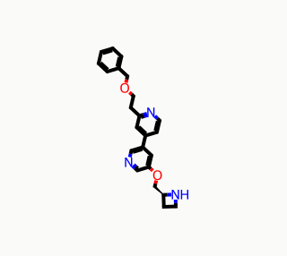 c1ccc(COCCc2cc(-c3cncc(OC[C@@H]4CCN4)c3)ccn2)cc1